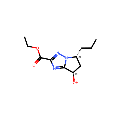 CCC[C@@H]1C[C@@H](O)c2nc(C(=O)OCC)nn21